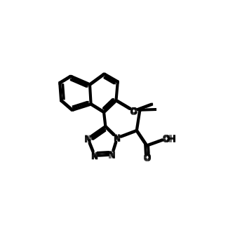 CCC(C(=O)O)n1nnnc1-c1c(OC)ccc2ccccc12